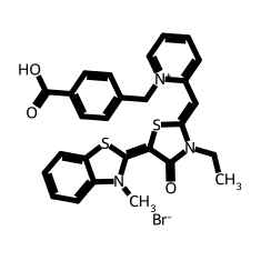 CCn1c(=Cc2cccc[n+]2Cc2ccc(C(=O)O)cc2)sc(=C2Sc3ccccc3N2C)c1=O.[Br-]